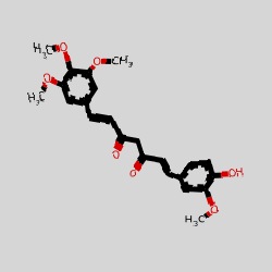 COc1cc(C=CC(=O)CC(=O)C=Cc2cc(OC)c(OC)c(OC)c2)ccc1O